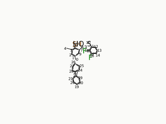 Cc1cc(C)c(S)c(C)c1.O=S(=O)(O)c1cccc(F)c1F.c1ccc(-c2ccccc2)cc1